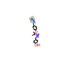 CC1=[PH](N(C)/N=C/c2ccc(O)cc2)C1(C)Oc1ccc(/C=N/N(C)P(=S)(Cl)Cl)cc1